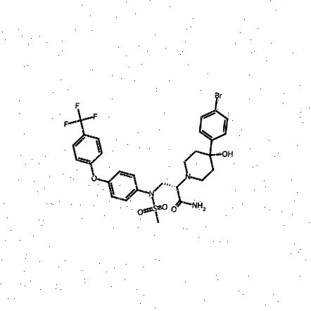 CS(=O)(=O)N(C[C@@H](C(N)=O)N1CCC(O)(c2ccc(Br)cc2)CC1)c1ccc(Oc2ccc(C(F)(F)F)cc2)cc1